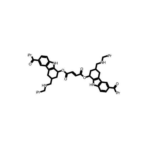 CC(C)CNCC1Cc2c([nH]c3ccc(C(=O)C(C)C)cc23)C(OC(=O)/C=C/C(=O)OC2CC(CNCC(C)C)Cc3c2[nH]c2ccc(C(=O)C(C)C)cc32)C1